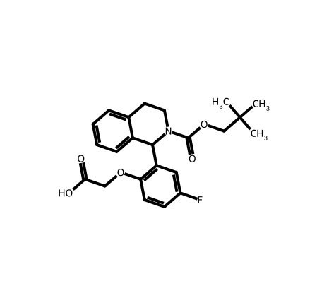 CC(C)(C)COC(=O)N1CCc2ccccc2C1c1cc(F)ccc1OCC(=O)O